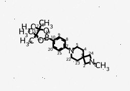 CN1CC2(CCN(c3ccc(B4OC(C)(C)C(C)(C)O4)cc3)CC2)C1